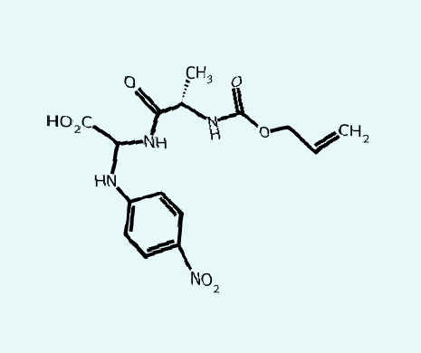 C=CCOC(=O)N[C@@H](C)C(=O)NC(Nc1ccc([N+](=O)[O-])cc1)C(=O)O